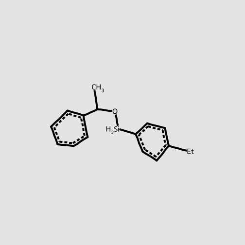 CCc1ccc([SiH2]OC(C)c2ccccc2)cc1